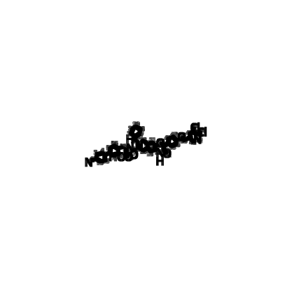 N#Cc1ccc(-c2ccc(C[C@H](NC(=O)[C@@H]3Cc4cc5c(cc4CN3Cc3ccccc3)OC(c3ccc(OCc4cnc(Cl)c(Cl)c4)cc3)C(=O)N5)C(=O)O)cc2)cc1